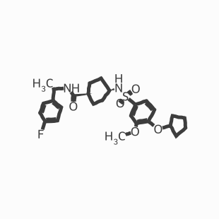 COc1cc(S(=O)(=O)N[C@H]2CC[C@H](C(=O)N[C@H](C)c3ccc(F)cc3)CC2)ccc1OC1CCCC1